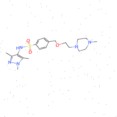 Cc1nn(C)c(C)c1NS(=O)(=O)c1ccc(COCCN2CCN(C)CC2)cc1